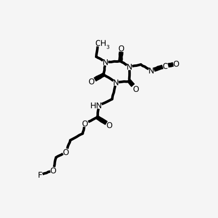 CCn1c(=O)n(CN=C=O)c(=O)n(CNC(=O)OCCOCOF)c1=O